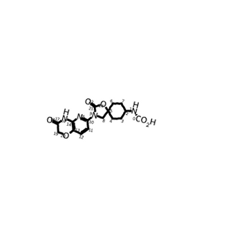 O=C(O)NC1CCC2(CC1)CN(c1ccc3c(n1)NC(=O)CO3)C(=O)O2